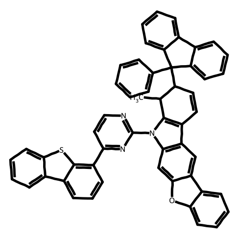 CC1c2c(c3cc4c(cc3n2-c2nccc(-c3cccc5c3sc3ccccc35)n2)oc2ccccc24)C=CC1C1(c2ccccc2)c2ccccc2-c2ccccc21